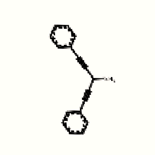 [SiH3]C(C#Cc1ccccc1)C#Cc1ccccc1